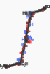 NCN[C@@H](CCCCNC(=O)COCCOCCNC(=O)COCCOCCNC(=O)CC[C@H](NC(=O)CCCCCCCCCCCOc1ccc(C(=O)O)cc1)C(=O)O)C(=O)CN[C@@H](CCCCNC(=O)COCCOCCNC(=O)COCCOCCNC(=O)CC[C@H](NC(=O)CCCCCCCCCCCOc1ccc(C(=O)O)cc1)C(=O)O)C(=O)CO